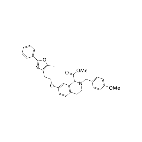 COC(=O)C1c2cc(OCCc3nc(-c4ccccc4)oc3C)ccc2CCN1Cc1ccc(OC)cc1